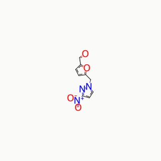 O=Cc1ccc(Cn2ccc([N+](=O)[O-])n2)o1